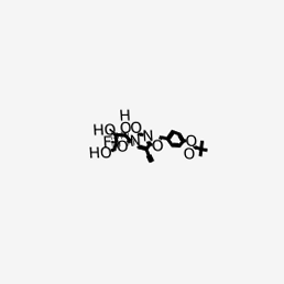 C#Cc1cn([C@@H]2O[C@](F)(CO)[C@@H](O)[C@H]2O)c(=O)nc1OCc1ccc(OC(=O)C(C)(C)C)cc1